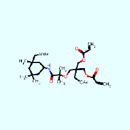 C=CC(=O)OCC(COC(C)=O)(COC(=O)C=C)COC(C)(C)C(=O)NC1CC(C)(C)CC(C)(CNC)C1